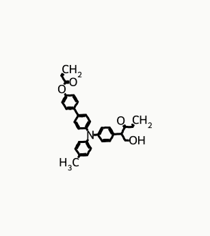 C=CC(=O)Oc1ccc(-c2ccc(N(c3ccc(C)cc3)c3ccc(C(CO)C(=O)C=C)cc3)cc2)cc1